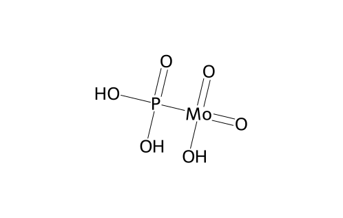 O=[P](O)(O)[Mo](=[O])(=[O])[OH]